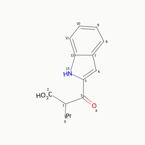 CC(C)C(C(=O)O)C(=O)c1cc2ccccc2[nH]1